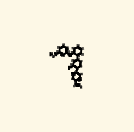 Nc1cnc(-c2ccc(-c3ccccc3Oc3nccc(N)n3)cc2F)cn1